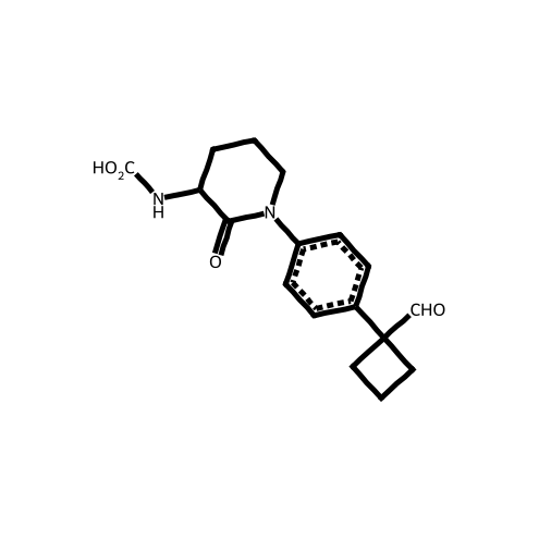 O=CC1(c2ccc(N3CCCC(NC(=O)O)C3=O)cc2)CCC1